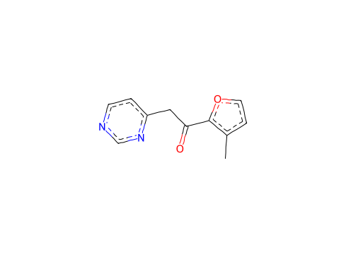 Cc1ccoc1C(=O)Cc1ccncn1